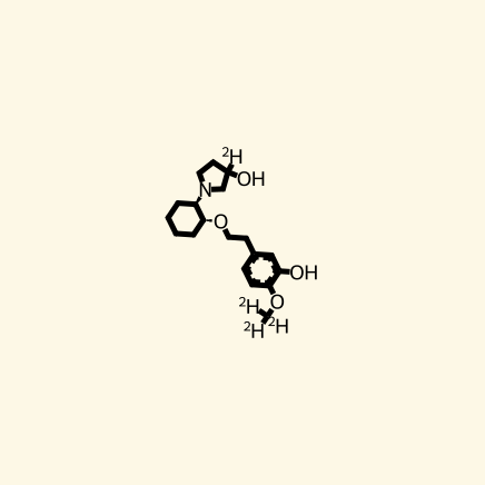 [2H]C1(O)CCN([C@@H]2CCCC[C@H]2OCCc2ccc(OC([2H])([2H])[2H])c(O)c2)C1